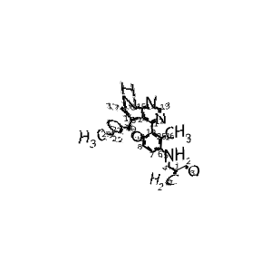 C=C(C=O)CNc1cccc(-c2ncnc3[nH]cc(C(=O)OCC)c23)c1C